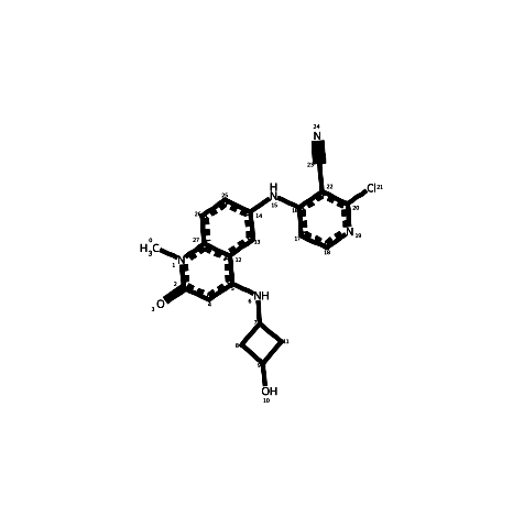 Cn1c(=O)cc(NC2CC(O)C2)c2cc(Nc3ccnc(Cl)c3C#N)ccc21